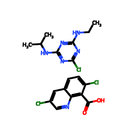 CCNc1nc(Cl)nc(NC(C)C)n1.O=C(O)c1c(Cl)ccc2cc(Cl)cnc12